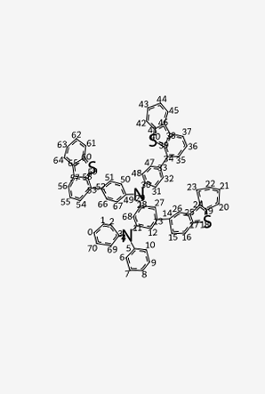 c1ccc(N(c2ccccc2)c2cc(-c3ccc4sc5ccccc5c4c3)cc(N(c3ccc(-c4cccc5c4sc4ccccc45)cc3)c3ccc(-c4cccc5c4sc4ccccc45)cc3)c2)cc1